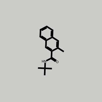 Cc1cc2ccccc2cc1C(=O)NC(C)(C)C